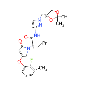 Cc1cccc(OC2=CC(=O)N([C@@H](CC(C)C)C(=O)Nc3ccn(C[C@@H]4COC(C)(C)O4)n3)C2)c1F